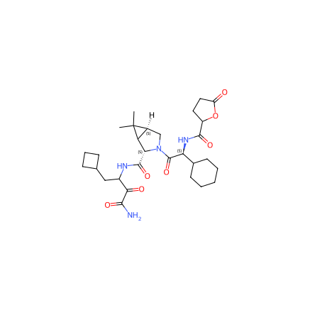 CC1(C)C2[C@@H](C(=O)NC(CC3CCC3)C(=O)C(N)=O)N(C(=O)[C@@H](NC(=O)C3CCC(=O)O3)C3CCCCC3)C[C@@H]21